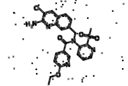 CCOc1ccc(C(=O)N(Cc2ccc3cc(Cl)c(N)nc3c2)c2cccnc2S(C)(=O)=O)cn1